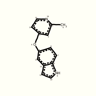 Cc1cc(Oc2ccc3[nH]ccc3c2)ccn1